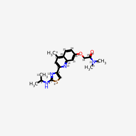 Cc1cc(-c2csc(NC(C)C)n2)nc2cc(OCC(=O)N(C)C)ccc12